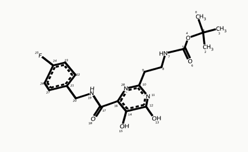 CC(C)(C)OC(=O)NCCc1nc(O)c(O)c(C(=O)NCc2ccc(F)cc2)n1